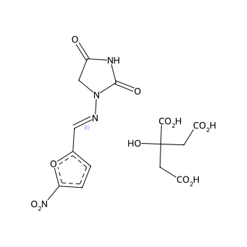 O=C(O)CC(O)(CC(=O)O)C(=O)O.O=C1CN(/N=C/c2ccc([N+](=O)[O-])o2)C(=O)N1